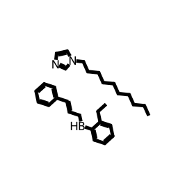 CCCCCCCCCCn1ccnc1.CCc1ccccc1BCC=Cc1ccccc1